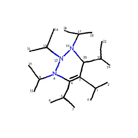 CC(C)C1=C(C(C)C)N(C(C)C)N(C(C)C)N(C(C)C)C1C(C)C